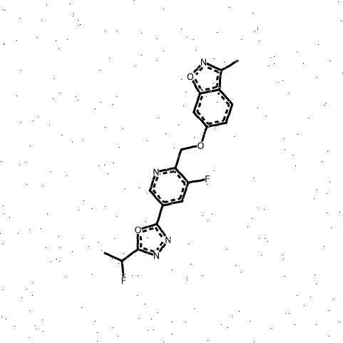 Cc1noc2cc(OCc3ncc(-c4nnc(C(C)F)o4)cc3F)ccc12